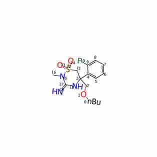 CCCCOCC1(c2ccccc2F)CS(=O)(=O)N(C)C(=N)N1